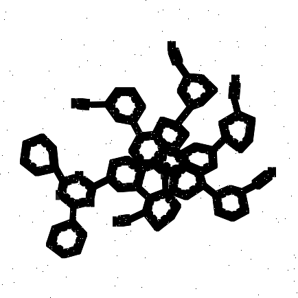 N#Cc1cccc(-c2ccc3c(c2)c2cc(-c4cccc(C#N)c4)ccc2n3-c2ccc(-c3nc(-c4ccccc4)nc(-c4ccccc4)n3)cc2-c2c(C#N)cccc2-n2c3ccc(-c4cccc(C#N)c4)cc3c3cc(-c4cccc(C#N)c4)ccc32)c1